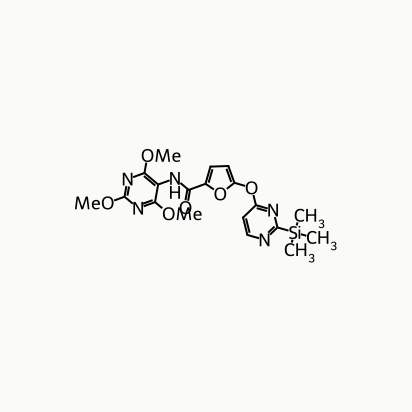 COc1nc(OC)c(NC(=O)c2ccc(Oc3ccnc([Si](C)(C)C)n3)o2)c(OC)n1